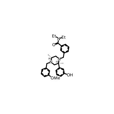 CCN(CC)C(=O)c1cccc(CN2C[C@@H](C)N(Cc3cccc(OC)c3)C[C@]2(C)c2cccc(O)c2)c1